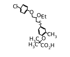 CCOC(COc1ccc(Cl)cc1)CSc1ccc(OC(C)(C)C(=O)O)c(C)c1